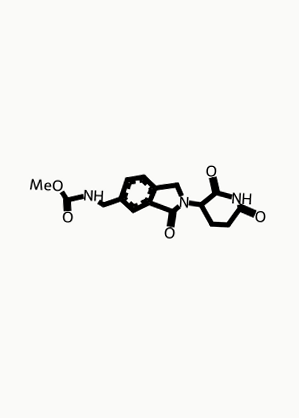 COC(=O)NCc1ccc2c(c1)C(=O)N(C1CCC(=O)NC1=O)C2